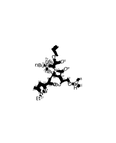 C=CCOC(=O)C(N1C(=O)[C@@H]([C@@H](CO[SiH](C)C)C(C)(C)C)[C@H]1CC(=O)c1cc(C)n(CC)n1)=P(CCCC)(CCCC)CCCC